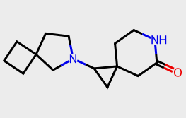 O=C1CC2(CCN1)CC2N1CCC2(CCC2)C1